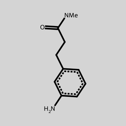 CNC(=O)CCc1cccc(N)c1